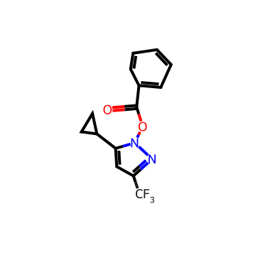 O=C(On1nc(C(F)(F)F)cc1C1CC1)c1ccccc1